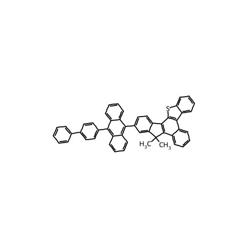 CC1(C)c2cc(-c3c4ccccc4c(-c4ccc(-c5ccccc5)cc4)c4ccccc34)ccc2-c2c1c1ccccc1c1c2sc2ccccc21